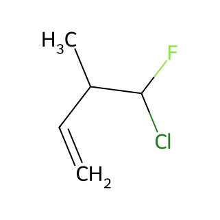 C=CC(C)C(F)Cl